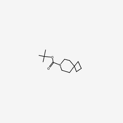 CC(C)(C)OC(=O)N1CCC2(CCC2)CC1